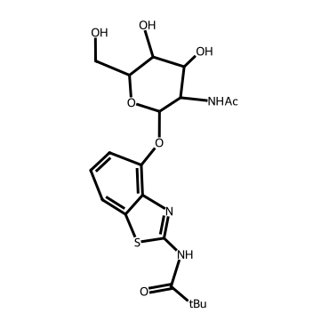 CC(=O)NC1C(Oc2cccc3sc(NC(=O)C(C)(C)C)nc23)OC(CO)C(O)C1O